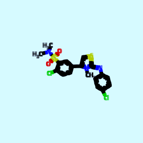 CN(C)S(=O)(=O)c1cc(-c2cs/c(=N/c3ccc(Cl)cc3)n2C)ccc1Cl